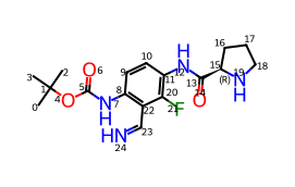 CC(C)(C)OC(=O)Nc1ccc(NC(=O)[C@H]2CCCN2)c(F)c1C=N